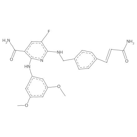 COc1cc(Nc2nc(NCc3ccc(/C=C/C(N)=O)cc3)c(F)cc2C(N)=O)cc(OC)c1